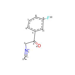 [C-]#[N+]CC(=O)c1cccc(F)c1